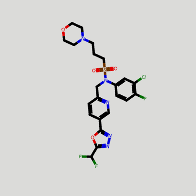 O=S(=O)(CCCN1CCOCC1)N(Cc1ccc(-c2nnc(C(F)F)o2)cn1)c1ccc(F)c(Cl)c1